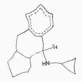 [2H]C1(NC2CC2)c2ccccc2CC2CCCC21